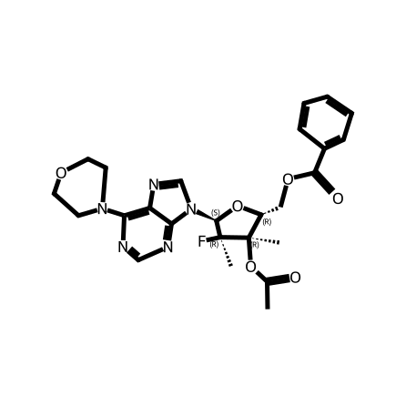 CC(=O)O[C@]1(C)[C@@H](COC(=O)c2ccccc2)O[C@H](n2cnc3c(N4CCOCC4)ncnc32)[C@]1(C)F